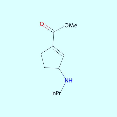 CCCNC1C=C(C(=O)OC)CC1